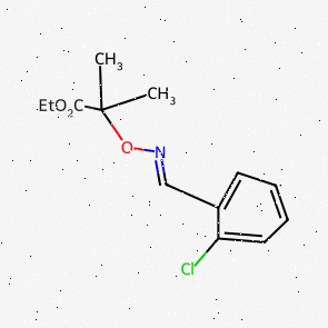 CCOC(=O)C(C)(C)O/N=C/c1c[c]ccc1Cl